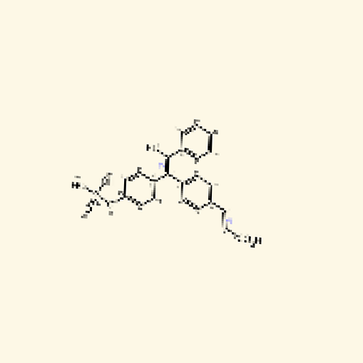 CC/C(=C(/c1ccc(/C=C/C(=O)O)cc1)c1ccc(OP(=O)(O)O)cc1)c1ccccc1